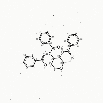 C[C@@H]1OC[C@H](OC(=O)c2ccccc2)C(OC(=O)c2ccccc2)C1OC(=O)c1ccccc1